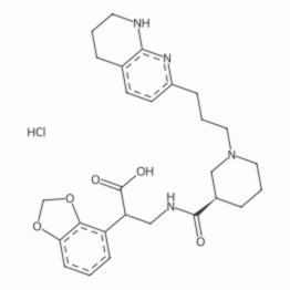 Cl.O=C(O)C(CNC(=O)[C@@H]1CCCN(CCCc2ccc3c(n2)NCCC3)C1)c1cccc2c1OCO2